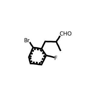 CC(C=O)Cc1c(F)cccc1Br